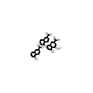 O=C([O-])c1ccc2c(Cl)cccc2c1.O=C([O-])c1ccc2c(Cl)cccc2c1.O=C([O-])c1ccc2c(Cl)cccc2c1.[Ga+3]